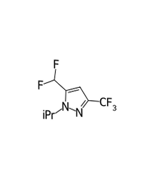 CC(C)n1nc(C(F)(F)F)cc1C(F)F